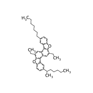 CCCCCCCc1ccc2oc3c(CC)cc4c(cc(CC)c5oc6ccc(C(C)CCCCC)cc6c54)c3c2c1